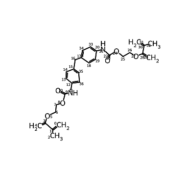 C=C(C)C(=C)OCCOC(=O)Nc1ccc(Cc2ccc(NC(=O)OCCOC(=C)C(=C)C)cc2)cc1